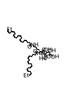 CC/C=C\C/C=C\C/C=C\C/C=C\C/C=C\C/C=C\CCC(=O)NCCCC[C@H](NC(=O)CCC/C=C\C/C=C\C/C=C\C/C=C\C/C=C\CC)C(=O)NC1C(O)[C@H](O)C(CO)O[C@H]1O